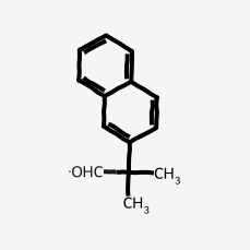 CC(C)([C]=O)c1ccc2ccccc2c1